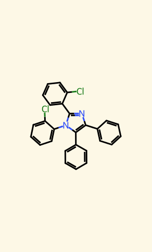 Clc1ccccc1-c1nc(-c2ccccc2)c(-c2ccccc2)n1-c1ccccc1Cl